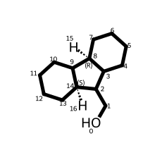 OCC1C2CCCC[C@@H]2C2CCCC[C@H]12